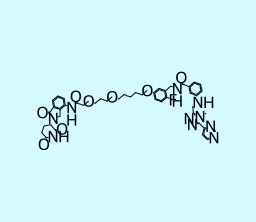 Cn1c(CNc2cccc(C(=O)NCc3cc(OCCCCCOCCCOCC(=O)Nc4cccc5c4CN(C4CCC(=O)NC4=O)C5=O)ccc3F)c2)nnc1-c1ccncn1